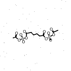 CC(=O)OS(=O)(=O)OC(=O)CCCCC(=O)OS(=O)(=O)OC(C)=O